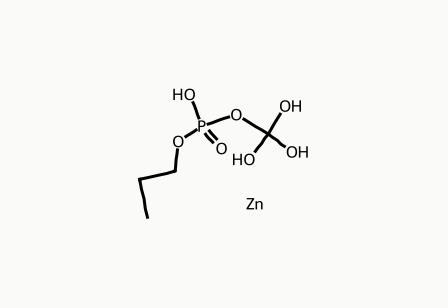 CCCOP(=O)(O)OC(O)(O)O.[Zn]